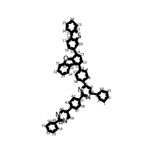 c1ccc(-c2cc(-c3ccc(-c4ccc(-c5ccc6c(c5)sc5ccccc56)c5oc6ccccc6c45)cc3)nc(-c3ccc(-c4cnc(-c5ccccc5)nc4)cc3)n2)cc1